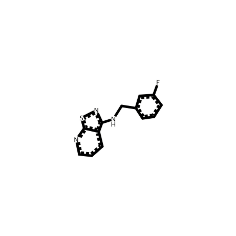 Fc1cccc(CNc2nsc3ncccc23)c1